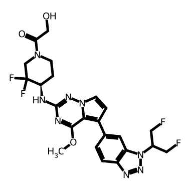 COc1nc(N[C@@H]2CCN(C(=O)CO)CC2(F)F)nn2ccc(-c3ccc4nnn(C(CF)CF)c4c3)c12